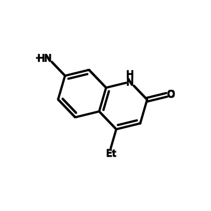 CCc1cc(=O)[nH]c2cc([NH])ccc12